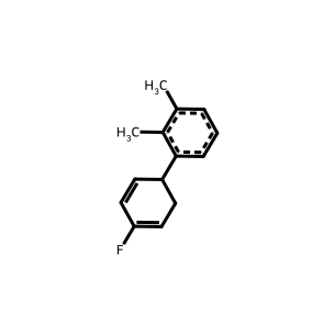 Cc1cccc(C2C=CC(F)=CC2)c1C